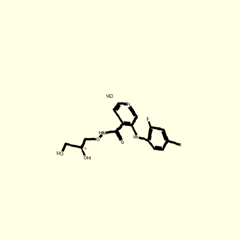 Cl.O=C(NOC[C@@H](O)CO)c1ccncc1Nc1ccc(I)cc1F